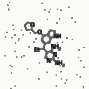 CCC(c1cc(OCC2CCCO2)c2cc[nH]c2c1)c1cnc(N)nc1N